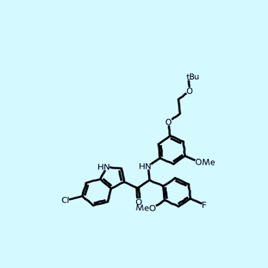 COc1cc(NC(C(=O)c2c[nH]c3cc(Cl)ccc23)c2ccc(F)cc2OC)cc(OCCOC(C)(C)C)c1